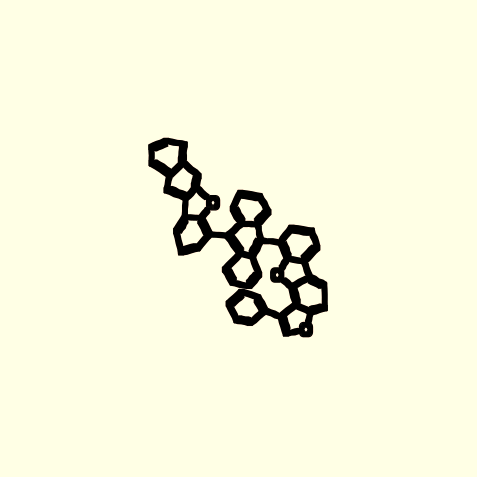 c1ccc(-c2coc3ccc4c5cccc(-c6c7ccccc7c(-c7cccc8c7oc7cc9ccccc9cc78)c7ccccc67)c5oc4c23)cc1